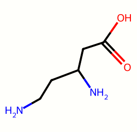 NCCC(N)CC(=O)O